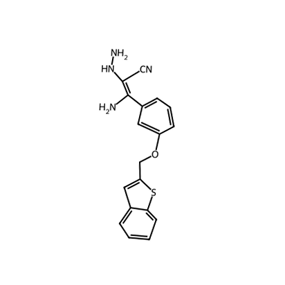 N#C/C(NN)=C(/N)c1cccc(OCc2cc3ccccc3s2)c1